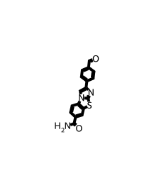 NC(=O)c1ccc2c(c1)sc1nc(-c3ccc(C=O)cc3)cn12